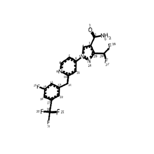 NC(=O)c1cn(-c2ccnc(Cc3cc(F)cc(C(F)(F)F)c3)c2)nc1C(F)F